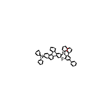 Fc1cc(-c2ccccc2)cc(-c2ccccc2)c1N(c1ccccc1)c1ccc2c(c1)c1ccccc1c1c3ccc(N(c4ccccc4)c4ccccc4)cc3ccc21